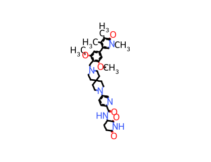 COc1cc(-c2cn(C)c(=O)c(C)c2C)cc(OC)c1CN1CCC2(CC1)CCN(c1ccc(C(=O)NC3CCC(=O)NC3=O)nc1)CC2